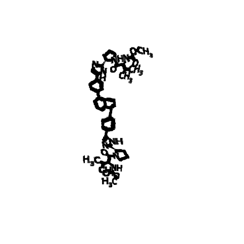 COC(=O)N[C@H](C(=O)N1CCC[C@H]1c1ncc(-c2ccc(-c3cccc4c(-c5ccc(-c6cnc([C@@H]7CCCN7C(=O)[C@@H](NC(=O)OC)C(C)C)[nH]6)cc5)cccc34)cc2)[nH]1)C(C)C